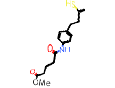 COC(=O)CCCC(=O)Nc1ccc(CCC(C)S)cc1